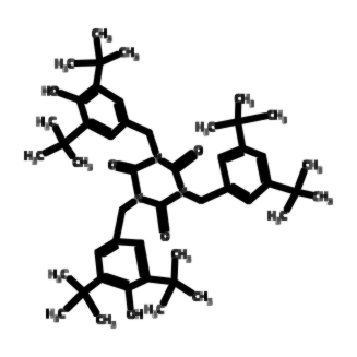 CC(C)(C)c1cc(Cn2c(=O)n(Cc3cc(C(C)(C)C)c(O)c(C(C)(C)C)c3)c(=O)n(Cc3cc(C(C)(C)C)c(O)c(C(C)(C)C)c3)c2=O)cc(C(C)(C)C)c1